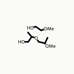 COC(C)COC(C)CO.COCCO